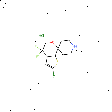 Cl.FC1(F)COC2(CCNCC2)C2SC(Cl)=CC21